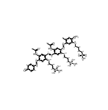 CC(=O)Nc1cc(N=Nc2cc(SCCCS(=O)(=O)O)c(N=Nc3cc(OCCCCS(=O)(=O)O)c(N)cc3C)cc2NC(C)=O)c(SCCCS(=O)(=O)O)cc1N=Nc1ccc(Cl)cc1